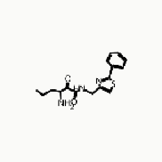 CCCC(N)C(=O)C(=O)NCc1csc(-c2ccccc2)n1